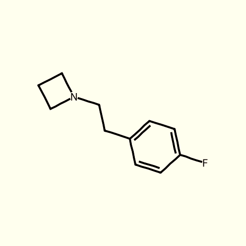 Fc1ccc(CCN2CCC2)cc1